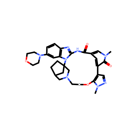 Cn1ncc2c1OCCN1CC3CCC(C3)(C1)n1c(nc3ccc(N4CCOCC4)cc31)NC(=O)c1cc-2c(=O)n(C)c1